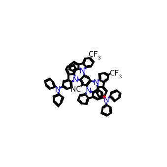 N#Cc1c(-n2c3ccccc3c3cc(N(c4ccccc4)c4ccccc4)ccc32)c(-n2c3ccccc3c3cc(C(F)(F)F)ccc32)cc(-n2c3ccccc3c3cc(C(F)(F)F)ccc32)c1-n1c2ccccc2c2cc(N(c3ccccc3)c3ccccc3)ccc21